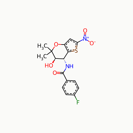 CC1(C)Oc2cc([N+](=O)[O-])sc2[C@H](NC(=O)c2ccc(F)cc2)[C@H]1O